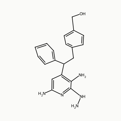 NNc1nc(N)cc(C(Cc2ccc(CO)cc2)c2ccccc2)c1N